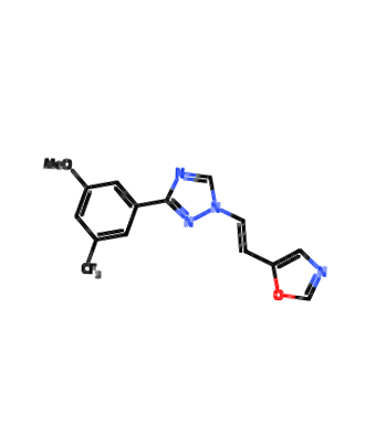 COc1cc(-c2ncn(C=Cc3cnco3)n2)cc(C(F)(F)F)c1